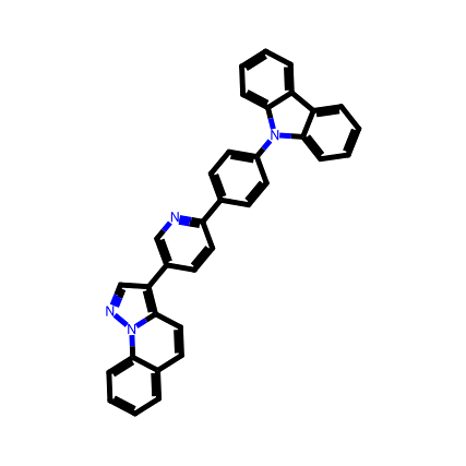 c1ccc2c(c1)ccc1c(-c3ccc(-c4ccc(-n5c6ccccc6c6ccccc65)cc4)nc3)cnn12